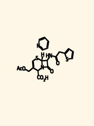 CC(=O)OCC1=CS[C@@H]2C(NC(=O)Cc3cccs3)C(=O)N2C1C(=O)O.c1ccncc1